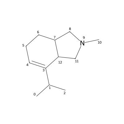 CC(C)C1=CCCC2CN(C)CC12